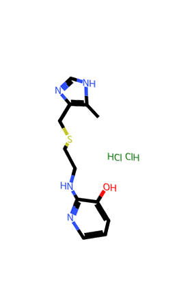 Cc1[nH]cnc1CSCCNc1ncccc1O.Cl.Cl